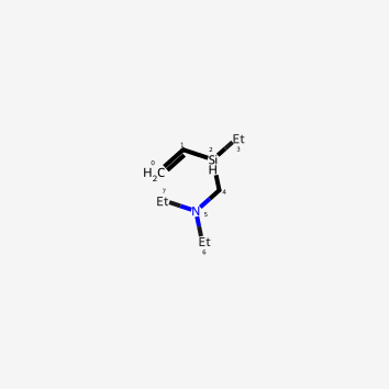 C=C[SiH](CC)CN(CC)CC